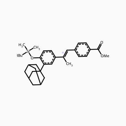 COC(=O)c1ccc(/C=C(\C)c2ccc(O[Si](C)(C)C(C)(C)C)c(C34CC5CC(CC(C5)C3)C4)c2)cc1